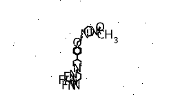 CC(=O)N1CCCN(CCOc2ccc(C3CCN(C4=Nn5c(nnc5C(F)(F)F)CC4)CC3)cc2)CC1